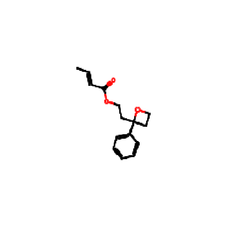 CC=CC(=O)OCCC1(c2ccccc2)CCO1